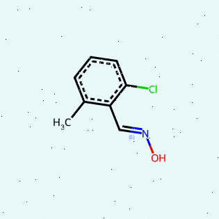 Cc1cccc(Cl)c1/C=N/O